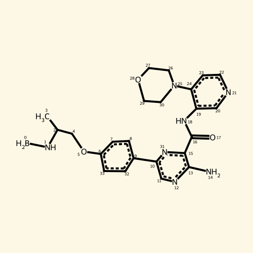 BNC(C)COc1ccc(-c2cnc(N)c(C(=O)Nc3cnccc3N3CCOCC3)n2)cc1